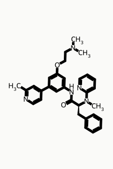 Cc1cc(-c2cc(NC(=O)[C@H](Cc3ccccc3)N(C)c3ccccn3)cc(OCCN(C)C)c2)ccn1